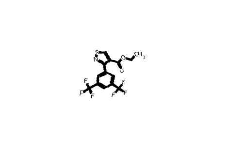 CCOC(=O)c1csnc1-c1cc(C(F)(F)F)cc(C(F)(F)F)c1